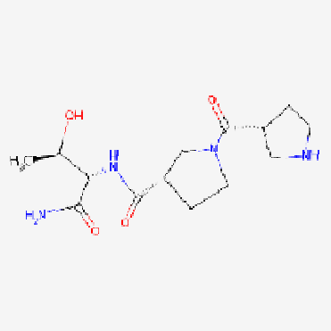 C[C@@H](O)[C@H](NC(=O)[C@H]1CCN(C(=O)[C@@H]2CCNC2)C1)C(N)=O